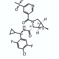 C[C@@H]1[C@@H]2CN(C(=O)c3cncc(S(C)(=O)=O)c3)[C@@H](C(=O)N[C@@H](c3cc(F)c(Cl)cc3F)C3CC3)[C@H]12